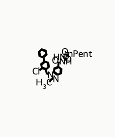 CCCCCS(=O)(=O)NNC(=O)c1ccc2nc(C)n(Cc3ccc(-c4ccccc4)cc3Cl)c2c1